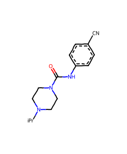 CC(C)N1CCN(C(=O)Nc2ccc(C#N)cc2)CC1